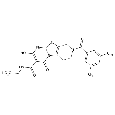 O=C(O)CNC(=O)c1c(O)nc2sc3c(n2c1=O)CCN(C(=O)c1cc(C(F)(F)F)cc(C(F)(F)F)c1)C3